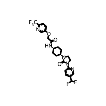 O=C(COc1ccc(C(F)(F)F)nc1)N[C@H]1CC[C@H](N2CCN(c3ccc(C(F)F)cn3)C2=O)CC1